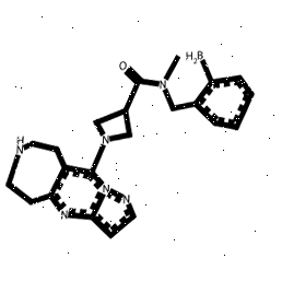 Bc1ccccc1CN(C)C(=O)C1CN(c2c3c(nc4ccnn24)CCNCC3)C1